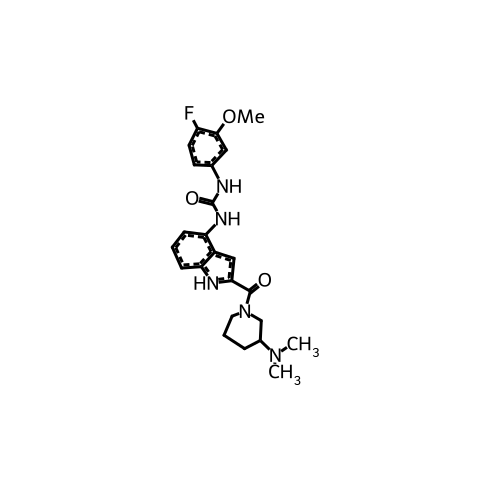 COc1cc(NC(=O)Nc2cccc3[nH]c(C(=O)N4CCCC(N(C)C)C4)cc23)ccc1F